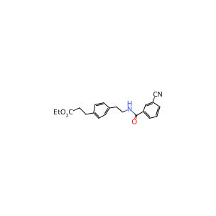 CCOC(=O)CCc1ccc(CCNC(=O)c2cccc(C#N)c2)cc1